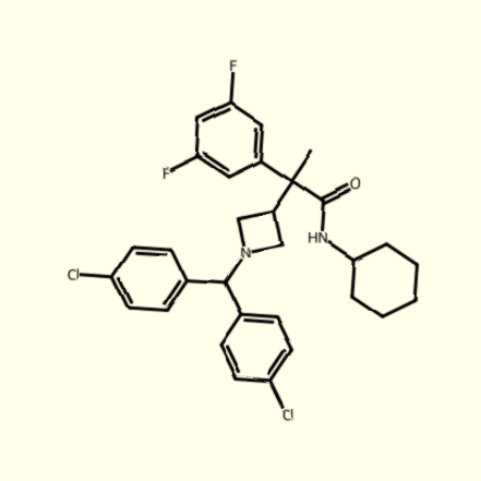 CC(C(=O)NC1CCCCC1)(c1cc(F)cc(F)c1)C1CN(C(c2ccc(Cl)cc2)c2ccc(Cl)cc2)C1